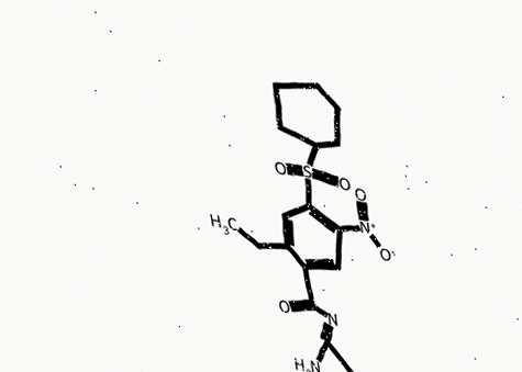 CCc1cc(S(=O)(=O)C2CCCCC2)c([N+](=O)[O-])cc1C(=O)N=C(N)N